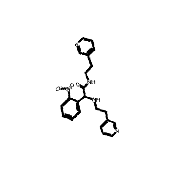 O=C(NCCc1cccnc1)C(NCCc1cccnc1)c1ccccc1[N+](=O)[O-]